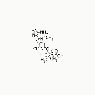 CCn1c(-c2nonc2N)nc2c(Cl)nc(OC[C@@](C)(NC(=O)O)C(C)(C)C)cc21